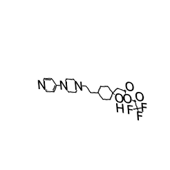 O=C(CC1(O)CCC(CCN2CCN(c3ccncc3)CC2)CC1)OC(=O)C(F)(F)F